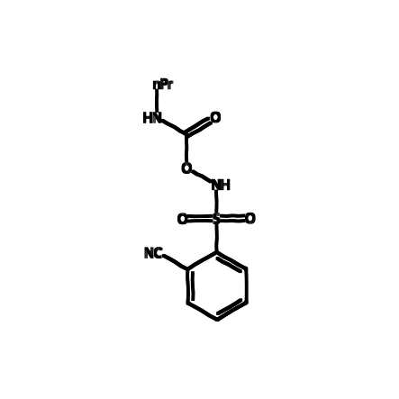 CCCNC(=O)ONS(=O)(=O)c1ccccc1C#N